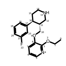 CCOc1ncccc1OC[C@H]1CNCC[C@@H]1c1cccc(F)c1